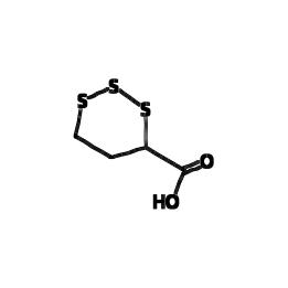 O=C(O)C1CCSSS1